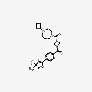 CC1(C)COC(c2ccc(C(=O)N3CC(C(=O)N4CCCN(C5CCC5)CC4)C3)cc2)=N1